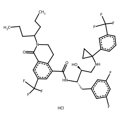 CCCC(CCC)N1CCc2c(C(=O)N[C@@H](Cc3cc(F)cc(F)c3)[C@@H](O)CNC3(c4cccc(C(F)(F)F)c4)CC3)cc(C(F)(F)F)cc2C1=O.Cl